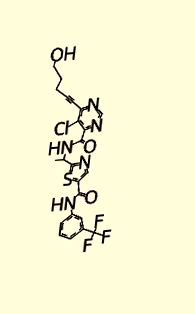 CC(NC(=O)c1ncnc(C#CCCCO)c1Cl)c1ncc(C(=O)Nc2cccc(C(F)(F)F)c2)s1